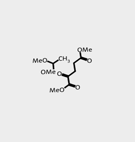 COC(=O)CCC(=O)C(=O)OC.COC(C)OC